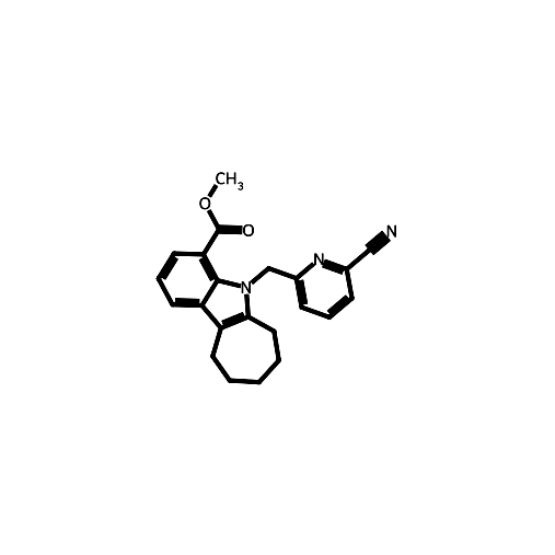 COC(=O)c1cccc2c3c(n(Cc4cccc(C#N)n4)c12)CCCCC3